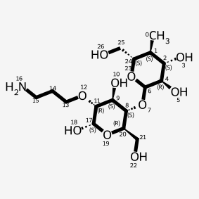 C[C@H]1[C@H](O)[C@@H](O)C(O[C@H]2[C@H](O)[C@@H](OCCCN)[C@@H](O)O[C@@H]2CO)O[C@@H]1CO